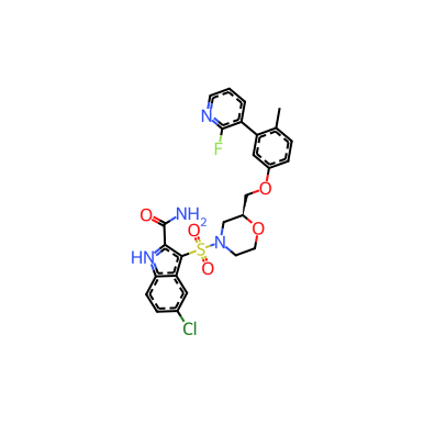 Cc1ccc(OC[C@@H]2CN(S(=O)(=O)c3c(C(N)=O)[nH]c4ccc(Cl)cc34)CCO2)cc1-c1cccnc1F